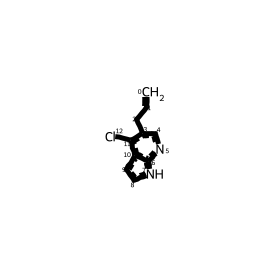 C=CCc1cnc2[nH]ccc2c1Cl